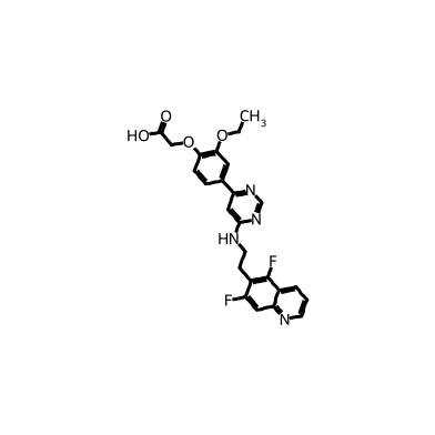 CCOc1cc(-c2cc(NCCc3c(F)cc4ncccc4c3F)ncn2)ccc1OCC(=O)O